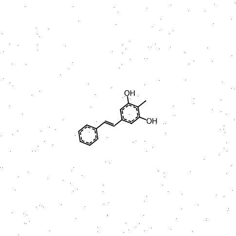 Cc1c(O)cc(C=Cc2ccccc2)cc1O